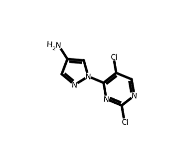 Nc1cnn(-c2nc(Cl)ncc2Cl)c1